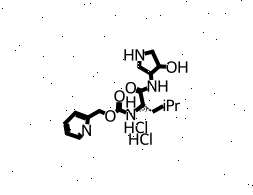 CC(C)C[C@H](NC(=O)OCc1ccccn1)C(=O)NC1CNCC1O.Cl.Cl